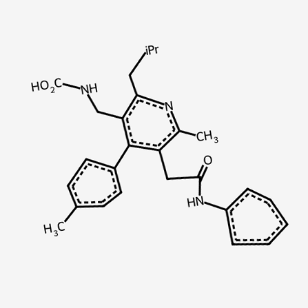 Cc1ccc(-c2c(CC(=O)Nc3ccccc3)c(C)nc(CC(C)C)c2CNC(=O)O)cc1